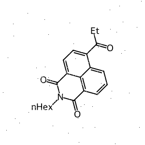 CCCCCCN1C(=O)c2cccc3c(C(=O)CC)ccc(c23)C1=O